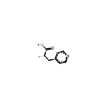 C[C@@H](Cc1ccncc1)C(=O)O